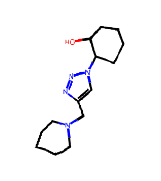 OC1CCCCC1n1cc(CN2CCCCC2)nn1